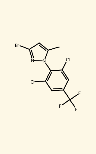 Cc1cc(Br)nn1-c1c(Cl)cc(C(F)(F)F)cc1Cl